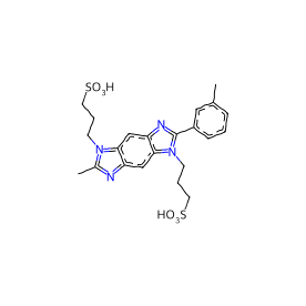 Cc1cccc(-c2nc3cc4c(cc3n2CCCS(=O)(=O)O)nc(C)n4CCCS(=O)(=O)O)c1